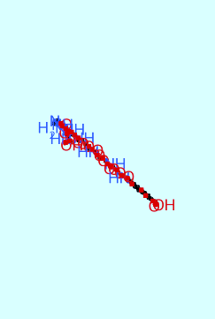 CC(=O)[C@H](CO)NCC(=O)[C@H](CCCCNC(=O)COCCOCCNC(=O)COCCOCCNC(=O)COCCOCCNC(=O)CCCCCCCCCCCCCCCCC(=O)O)NCC(=O)[C@@H](N)Cc1cnc[nH]1